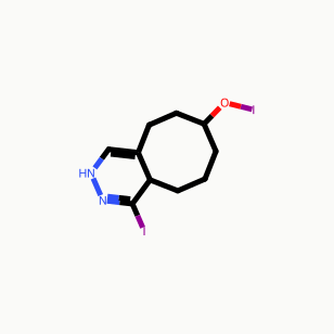 IOC1CCCC2C(=CNN=C2I)CC1